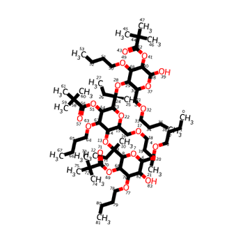 CCCCOCC1OC(C(C)(CC)OC2C(COCCCC)OC([C@](C)(CC)OC3C(COCCCC)OC(O)C(OC(=O)C(C)(C)C)C3OCCCC)C(OC(=O)C(C)(C)C)C2OCCCC)C(OC(=O)C(C)(C)C)C(OCCCC)C1O